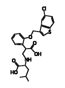 CC(C)CC(NCC(C(=O)O)c1ccccc1OCc1csc2ccc(Cl)cc12)C(=O)O